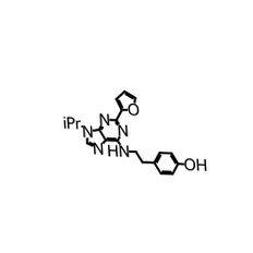 CC(C)n1cnc2c(NCCc3ccc(O)cc3)nc(-c3ccco3)nc21